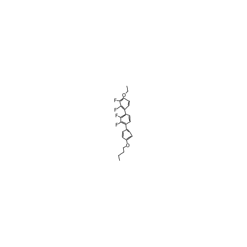 CCCCOc1ccc(-c2ccc(-c3ccc(OCC)c(F)c3F)c(F)c2F)cc1